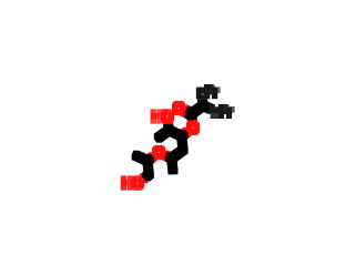 CCCC(CCC)C(=O)OC(CC(C)OC(C)CO)C(C)O